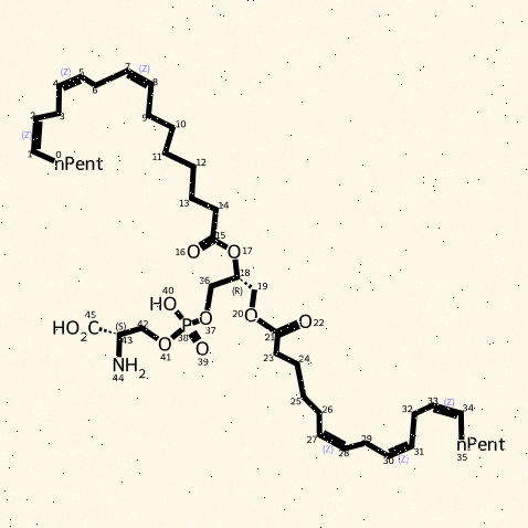 CCCCC/C=C\C/C=C\C/C=C\CCCCCCC(=O)O[C@H](COC(=O)CCCC/C=C\C/C=C\C/C=C\CCCCC)COP(=O)(O)OC[C@H](N)C(=O)O